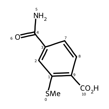 CSc1cc(C(N)=O)ccc1C(=O)O